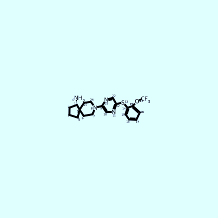 N[C@H]1CCCC12CCN(c1cnc(Sc3ccccc3OC(F)(F)F)cn1)CC2